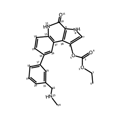 CCOC(=O)Oc1c[nH]c2c(=O)[nH]c3ccc(-c4cccc(CNC)c4)cc3c12